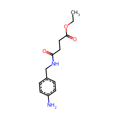 CCOC(=O)CCC(=O)NCc1ccc(N)cc1